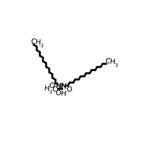 CCCCCCCCCCCCCCCC(=O)NCC(C)(O)NC(=O)CCCCCCCCCCCCCCC